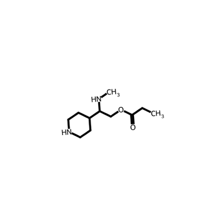 CCC(=O)OCC(NC)C1CCNCC1